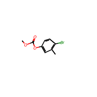 COC(=O)Oc1ccc(Br)c(C)c1